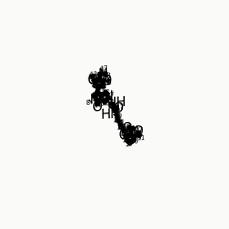 COc1cc(-c2cn(C)c(=O)c3cc(NCC(=O)NCCCCCOc4cccc(C(C)=O)c4C(C)=O)ncc23)cc(OC)c1CN(C)C